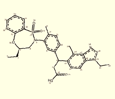 CC[C@@H]1CN(c2cc(C(CC(=O)O)c3ccc4c(nnn4CC)c3C)ccc2C)S(=O)(=O)c2cccnc2O1